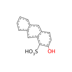 O=S(=O)(O)c1c(O)ccc2cc3ccccc3cc12